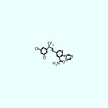 NC(=O)c1cc(/C=C/C(c2cc(Cl)cc(Cl)c2)C(F)(F)F)ccc1-n1cncn1